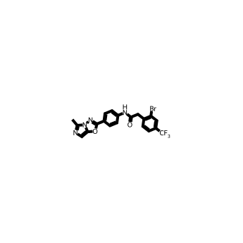 Cc1ncc2oc(-c3ccc(NC(=O)Cc4ccc(C(F)(F)F)cc4Br)cc3)nn12